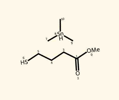 COC(=O)CCCS.[CH3][SnH]([CH3])[CH3]